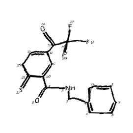 O=C(NCc1ccccc1)C1=CC(C(=O)C(F)(F)F)=CCC1=S